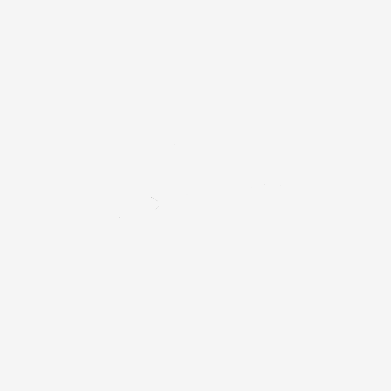 [CH2]CCCc1cc(CCCCCCCCCCCCCCCCCCC)c(CCCCCCCCCCCCCCCCCCC)c(CCCCCCCCCCCCCCCCCCC)c1